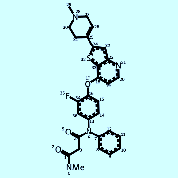 CNC(=O)CC(=O)N(c1ccccc1)c1ccc(Oc2ccnc3cc(C4=CCN(C)CC4)sc23)c(F)c1